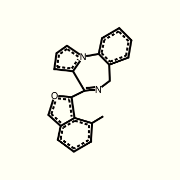 Cc1cccc2coc(C3=NCc4ccccc4-n4cccc43)c12